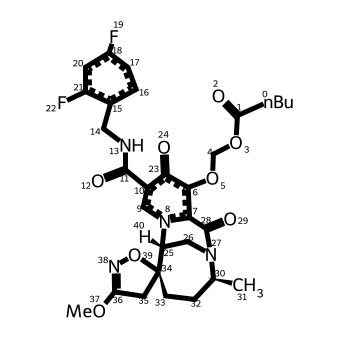 CCCCC(=O)OCOc1c2n(cc(C(=O)NCc3ccc(F)cc3F)c1=O)[C@@H]1CN(C2=O)[C@@H](C)CC[C@]12CC(OC)=NO2